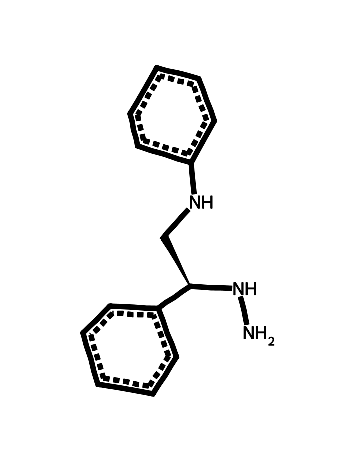 NN[C@H](CNc1ccccc1)c1ccccc1